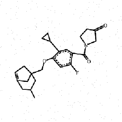 CC1CC2=CCC(COc3cc(F)c(C(=O)N4CCC(=O)C4)cc3C3CC3)(C2)C1